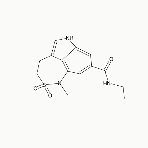 CCNC(=O)c1cc2c3c(c[nH]c3c1)CCS(=O)(=O)N2C